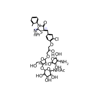 CCC/N=C1\S/C(=C\c2ccc(OC[C@H](O)COC3O[C@H](CO)[C@H](OC4O[C@@H](NC(C)=O)[C@@H](O)[C@H](O)[C@H]4O)[C@H]3O[C@@H]3O[C@H](O)[C@@H](N)[C@@H]3O)c(Cl)c2)C(=O)N1c1ccccc1C